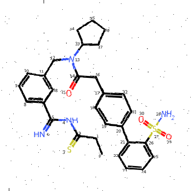 CCC(=S)NC(=N)c1cccc(CN(C(=O)Cc2ccc(-c3ccccc3S(N)(=O)=O)cc2)C2CCCC2)c1